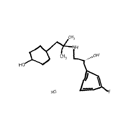 CC(C)(CC1CCC(O)CC1)NC[C@H](O)c1cccc(F)c1.Cl